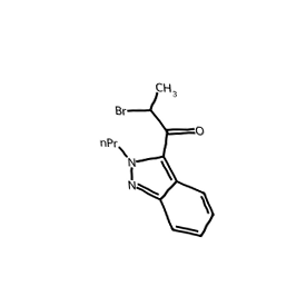 CCCn1nc2ccccc2c1C(=O)C(C)Br